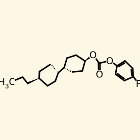 CCC[C@H]1CC[C@H]([C@H]2CC[C@H](OC(=O)Oc3ccc(F)cc3)CC2)CC1